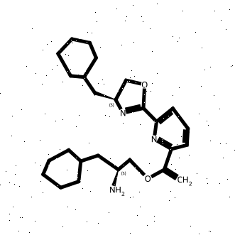 C=C(OC[C@@H](N)CC1CCCCC1)c1cccc(C2=N[C@@H](CC3CCCCC3)CO2)n1